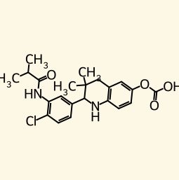 CC(C)C(=O)Nc1cc(C2Nc3ccc(OC(=O)O)cc3CC2(C)C)ccc1Cl